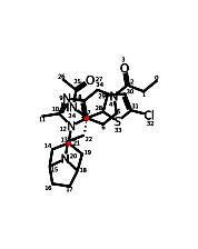 CCC(=O)N1CCc2c(nc(C)n2C2CC3CCC(C2)N3CC[C@H](NC(C)=O)C2CC=C(Cl)S2)C1